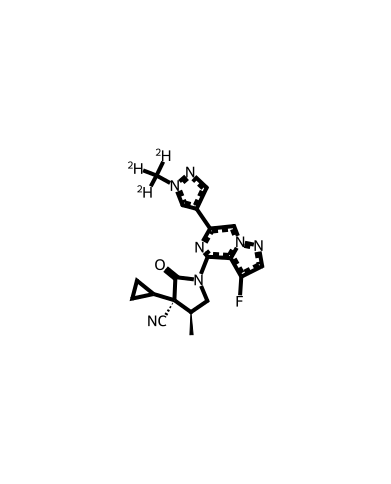 [2H]C([2H])([2H])n1cc(-c2cn3ncc(F)c3c(N3C[C@@H](C)[C@@](C#N)(C4CC4)C3=O)n2)cn1